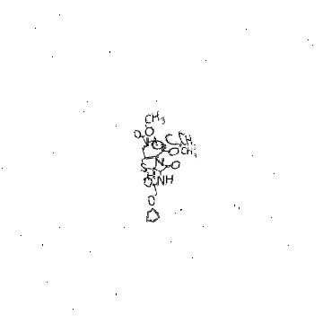 CCOC(=O)C=CC1=C(C(=O)OC(C)(C)C)N2C(=O)C(NC(=O)COc3ccccc3)[C@@H]2SC1